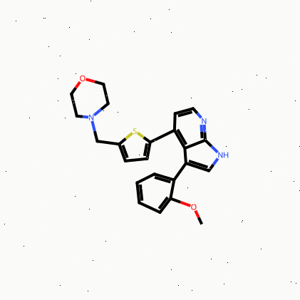 COc1ccccc1-c1c[nH]c2nccc(-c3ccc(CN4CCOCC4)s3)c12